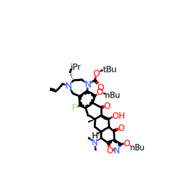 C=CCN1Cc2c(F)c3c(c(OCCCC)c2N(C(=O)OC(C)(C)C)C[C@H]1CC(C)C)C(=O)C1=C(O)C2C(=O)c4c(OCCCC)noc4[C@@H](N(C)C)[C@@H]2C[C@]1(C)C3